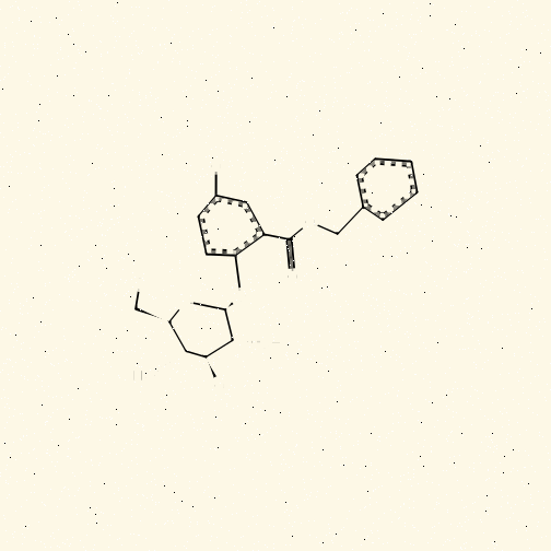 O=C(OCc1ccccc1)c1cc(O)ccc1O[C@@H]1O[C@H](CO)[C@@H](O)[C@H](O)[C@H]1O